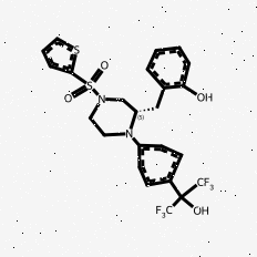 O=S(=O)(c1cccs1)N1CCN(c2ccc(C(O)(C(F)(F)F)C(F)(F)F)cc2)[C@@H](Cc2ccccc2O)C1